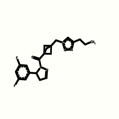 CCCc1cn(CC23CC(C(=O)N4N=CCC4c4cc(F)cc(F)c4)(C2)C3)nn1